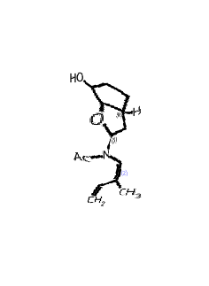 C=C/C(C)=C\N(C(C)=O)[C@@H]1C[C@H]2CCC(O)C2O1